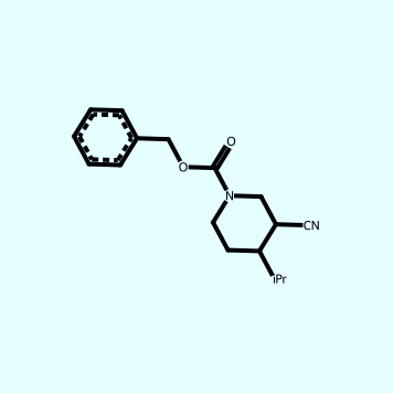 CC(C)C1CCN(C(=O)OCc2ccccc2)CC1C#N